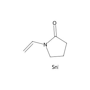 C=CN1CCCC1=O.[Sn]